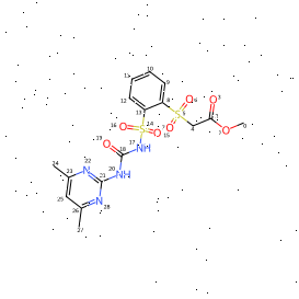 COC(=O)CS(=O)(=O)c1ccccc1S(=O)(=O)NC(=O)Nc1nc(C)cc(C)n1